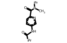 CC(C)C(=O)Nc1ccc(C(=O)N(C)C(C)C)nc1